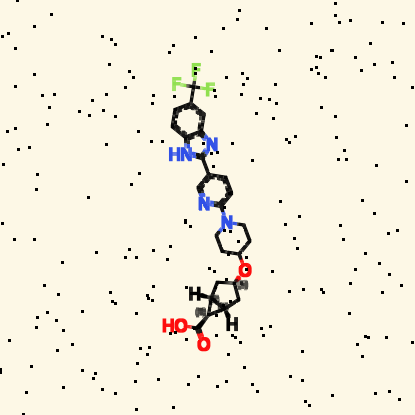 O=C(O)[C@H]1[C@@H]2C[C@@H](OC3CCN(c4ccc(-c5nc6cc(C(F)(F)F)ccc6[nH]5)cn4)CC3)C[C@@H]21